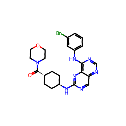 O=C([C@H]1CC[C@H](Nc2ncc3ncnc(Nc4cccc(Br)c4)c3n2)CC1)N1CCOCC1